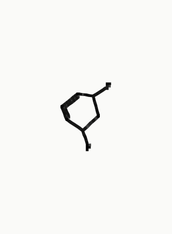 FC1C=C=CC(F)C1